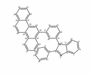 c1ccc(-c2nc3ccccc3n2-c2cccc(-c3cc4c5ccccc5ccc4c4ccccc34)c2)cc1